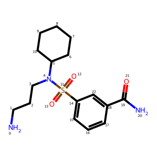 NCCCN(C1CCCCC1)S(=O)(=O)c1cccc(C(N)=O)c1